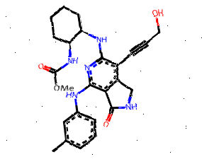 COC(=O)N[C@H]1CCCC[C@H]1Nc1nc(Nc2cccc(C)c2)c2c(c1C#CCO)CNC2=O